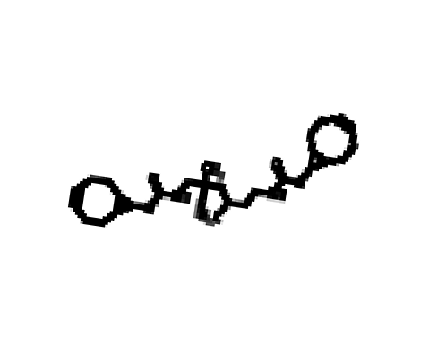 CC(CCNC(=O)OC1C2CCC#CCCC21)CC(C)(C)CNC(=O)OC1C2CCC#CCCC21